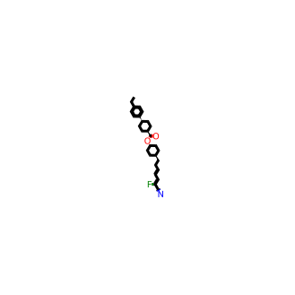 CCc1ccc([C@H]2CC[C@H](C(=O)O[C@H]3CC[C@H](CCC=CC=C(F)C#N)CC3)CC2)cc1